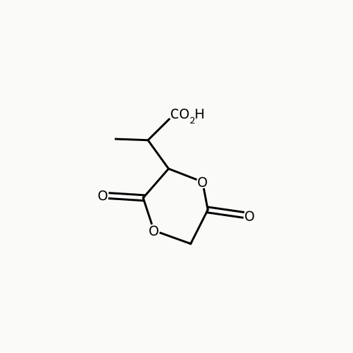 CC(C(=O)O)C1OC(=O)COC1=O